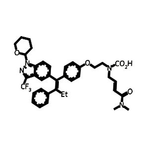 CCC(=C(c1ccc(OCCN(CC=CC(=O)N(C)C)C(=O)O)cc1)c1ccc2c(c1)c(C(F)(F)F)nn2C1CCCCO1)c1ccccc1